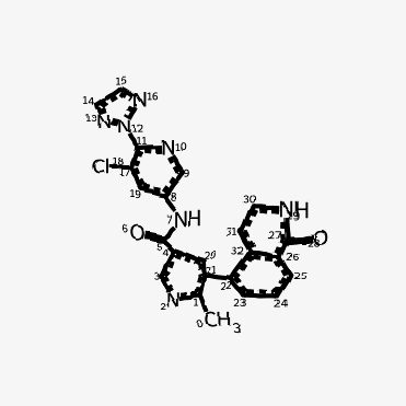 Cc1ncc(C(=O)Nc2cnc(-n3nccn3)c(Cl)c2)cc1-c1cccc2c(=O)[nH]ccc12